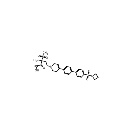 CC(CCN1CC=C(c2ccc(-c3ccc(S(=O)(=O)N4CCC4)cc3)cc2)CC1)(C(=O)NO)S(C)(=O)=O